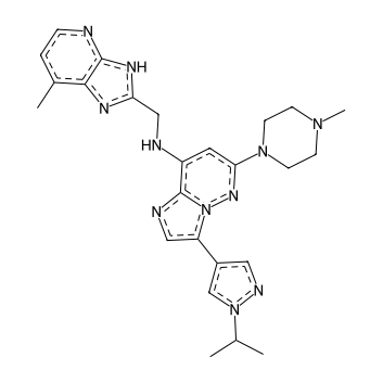 Cc1ccnc2[nH]c(CNc3cc(N4CCN(C)CC4)nn4c(-c5cnn(C(C)C)c5)cnc34)nc12